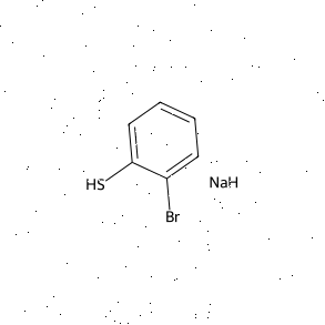 Sc1ccccc1Br.[NaH]